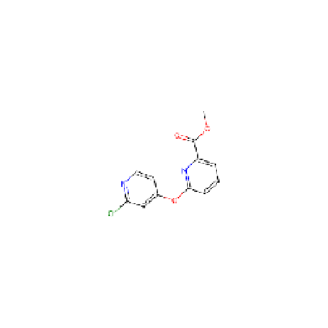 COC(=O)c1cccc(Oc2ccnc(Cl)c2)n1